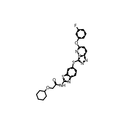 O=C(COC1CCCCC1)Nc1nc2ccc(Sc3nnc4ccc(Oc5cccc(F)c5)nn34)cc2s1